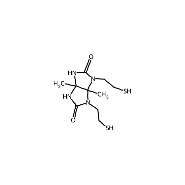 CC12NC(=O)N(CCS)C1(C)N(CCS)C(=O)N2